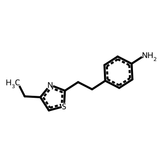 CCc1csc(CCc2ccc(N)cc2)n1